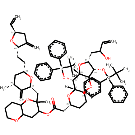 C=CC(O)C[C@H]1O[C@H]2[C@@H](O[Si](c3ccccc3)(c3ccccc3)C(C)(C)C)[C@H]3O[C@@H](CC(=O)OC4CC5OCCCC5OC4(C)C[C@H]4O[C@@H](CC[C@@H]5O[C@@H](C=C)CC5=C)C[C@@H](C)C4=C)CC[C@@H]3O[C@H]2[C@H]1O[Si](c1ccccc1)(c1ccccc1)C(C)(C)C